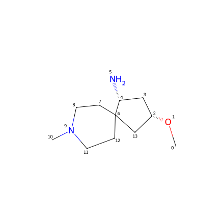 CO[C@H]1C[C@@H](N)C2(CCN(C)CC2)C1